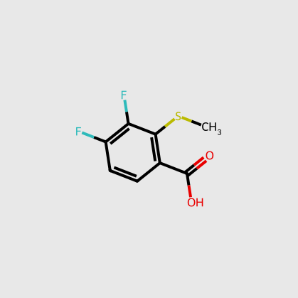 CSc1c(C(=O)O)ccc(F)c1F